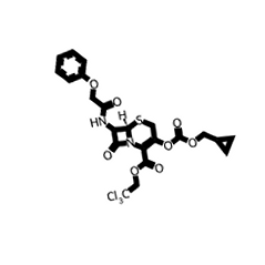 O=C(COc1ccccc1)NC1C(=O)N2C(C(=O)OCC(Cl)(Cl)Cl)=C(OC(=O)OCC3CC3)CS[C@H]12